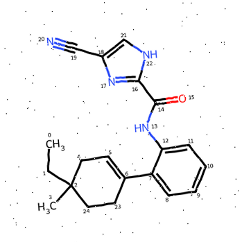 CCC1(C)CC=C(c2ccccc2NC(=O)c2nc(C#N)c[nH]2)CC1